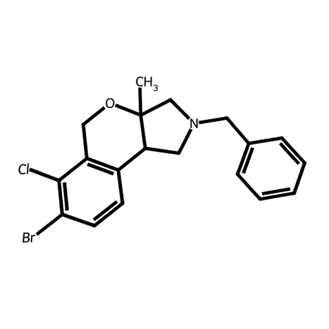 CC12CN(Cc3ccccc3)CC1c1ccc(Br)c(Cl)c1CO2